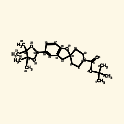 CC(C)(C)OC(=O)N1CCC2(CC1)Cc1cc(B3OC(C)(C)C(C)(C)O3)ccc1O2